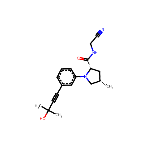 C[C@H]1C[C@@H](C(=O)NCC#N)N(c2cccc(C#CC(C)(C)O)c2)C1